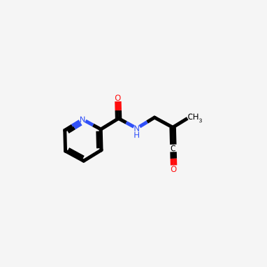 CC(=C=O)CNC(=O)c1ccccn1